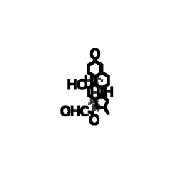 CC1C[C@H]2[C@@H]3CCC4=CC(=O)CC[C@]4(C)[C@H]3C(O)C[C@]2(C)[C@H]1C(=O)C=O